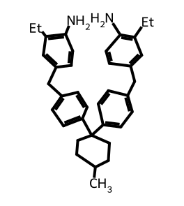 CCc1cc(Cc2ccc(C3(c4ccc(Cc5ccc(N)c(CC)c5)cc4)CCC(C)CC3)cc2)ccc1N